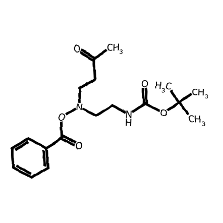 CC(=O)CCN(CCNC(=O)OC(C)(C)C)OC(=O)c1ccccc1